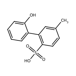 Cc1ccc(S(=O)(=O)O)c(-c2ccccc2O)c1